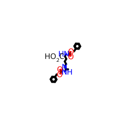 C/C(=N\CCC[C@@H](NC(=O)OCc1ccccc1)C(=O)O)NC(=O)OCc1ccccc1